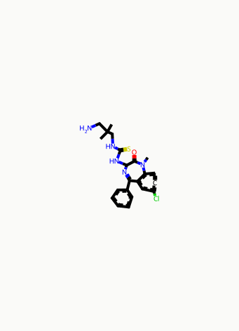 CN1C(=O)C(NC(=S)NCC(C)(C)CN)N=C(c2ccccc2)c2cc(Cl)ccc21